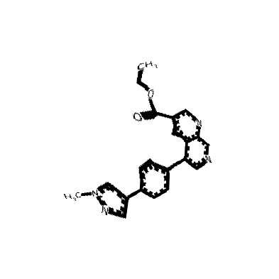 CCOC(=O)c1cnc2cncc(-c3ccc(-c4cnn(C)c4)cc3)c2c1